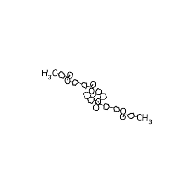 Cc1ccc(C(=O)Oc2ccc(-c3ccc(C(=O)Oc4ccc5c(c4-c4c(OC(=O)c6ccc(-c7ccc(OC(=O)c8ccc(C)cc8)cc7)cc6)ccc6c4CCCC6)CCCC5)cc3)cc2)cc1